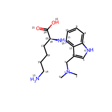 CN(C)Cc1c[nH]c2ccccc12.NCCCC[C@H](N)C(=O)O